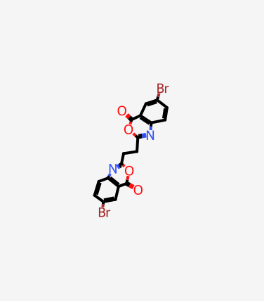 O=c1oc(CCc2nc3ccc(Br)cc3c(=O)o2)nc2ccc(Br)cc12